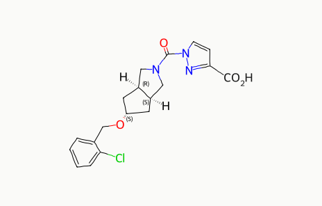 O=C(O)c1ccn(C(=O)N2C[C@H]3C[C@H](OCc4ccccc4Cl)C[C@H]3C2)n1